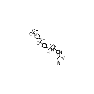 N#CCC(C1CC1)n1cc(-c2ccnc(Nc3ccc(C(=O)NC4CCN(C(=O)O)CC4)cc3)n2)cn1